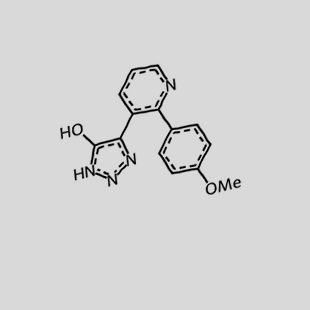 COc1ccc(-c2ncccc2-c2nn[nH]c2O)cc1